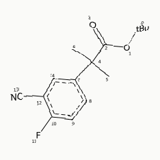 CC(C)(C)OC(=O)C(C)(C)c1ccc(F)c(C#N)c1